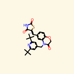 CC(C)(C)c1cc(CN2C(=O)COc3ccc(/C=C4\SC(=O)NC4=O)cc32)cc(C(C)(C)C)n1